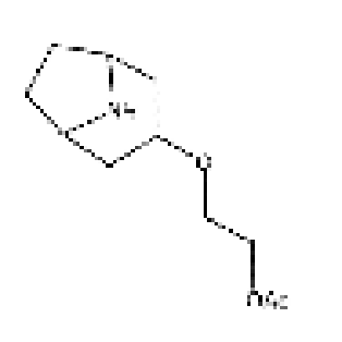 CC(=O)OCCOC1CC2CCC(C1)N2